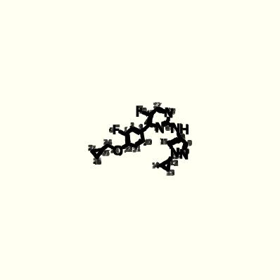 Fc1cc(-c2nc(Nc3cnn(C4CC4)c3)ncc2F)ccc1OCC1CC1